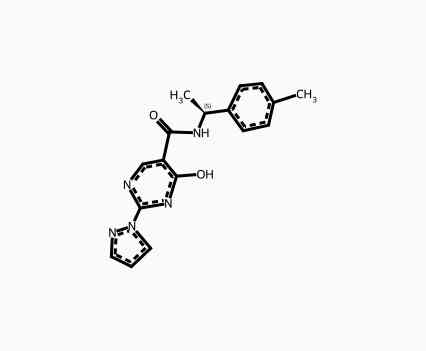 Cc1ccc([C@H](C)NC(=O)c2cnc(-n3cccn3)nc2O)cc1